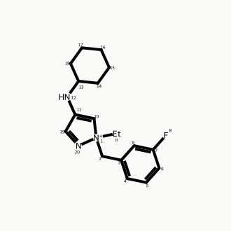 CC[N+]1(Cc2cccc(F)c2)C=C(NC2CCCCC2)C=N1